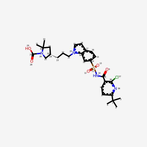 CC(C)(C)c1ccc(C(=O)NS(=O)(=O)c2ccc3ccn(CCC[C@@H]4CN(C(=O)O)C(C)(C)C4)c3c2)c(Cl)n1